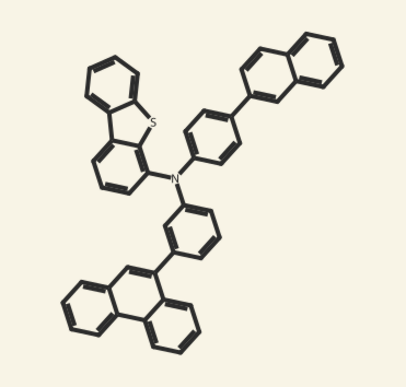 c1cc(-c2cc3ccccc3c3ccccc23)cc(N(c2ccc(-c3ccc4ccccc4c3)cc2)c2cccc3c2sc2ccccc23)c1